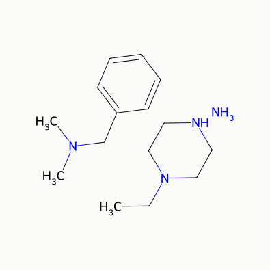 CCN1CCNCC1.CN(C)Cc1ccccc1.N